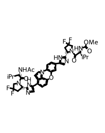 COC(=O)N[C@H](C(=O)N1CC(F)(F)C[C@H]1c1ncc(-c2ccc3c(c2)Oc2ccc(-c4cnc([C@@H]5CC(F)(F)CN5C(=O)[C@@H](NC(C)=O)C(C)C)[nH]4)c4ccn-3c24)[nH]1)C(C)C